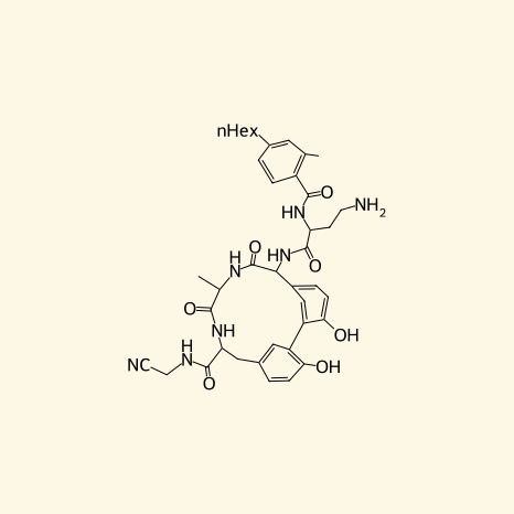 CCCCCCc1ccc(C(=O)NC(CCN)C(=O)NC2C(=O)NC(C)C(=O)NC(C(=O)NCC#N)Cc3ccc(O)c(c3)-c3cc2ccc3O)c(C)c1